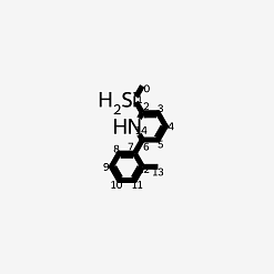 C[SiH2]C1=CC=CC(c2ccccc2C)N1